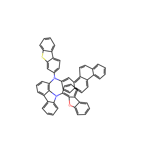 c1ccc2c(c1)ccc1c3cc(N(c4ccc5c(c4)sc4ccccc45)c4cccc5c6ccccc6n(-c6cccc7c6oc6ccccc67)c45)ccc3ccc21